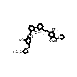 COc1cc(/C=C/c2cccc(-c3cccc(-c4nc5cc(CN6CC[C@@H](C(=O)O)C6)cc(C#N)c5o4)c3Cl)c2C)c(C(F)(F)F)cc1CN1CCCC1